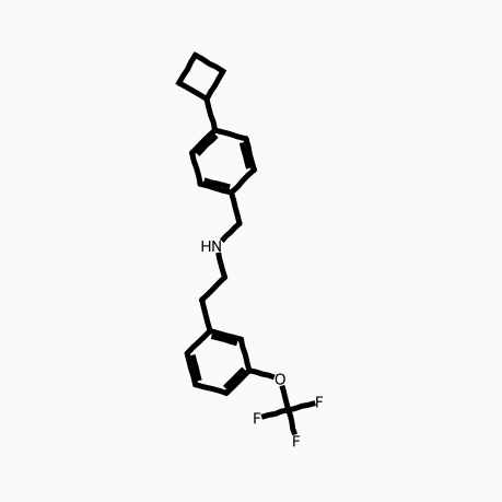 FC(F)(F)Oc1cccc(CCNCc2ccc(C3CCC3)cc2)c1